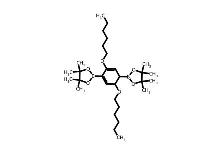 CCCCCCO[C]1C=C(B2OC(C)(C)C(C)(C)O2)C(OCCCCCC)=CC1B1OC(C)(C)C(C)(C)O1